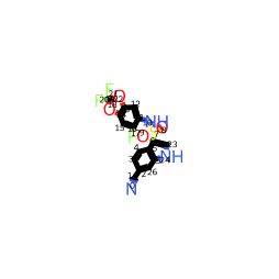 N#Cc1ccc2c(S(=O)(=O)Nc3cc4c(cc3F)OC(F)(F)O4)c[nH]c2c1